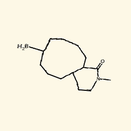 BC1CCCCC2C(=O)N(C)CCC2CCC1